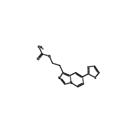 CC(=O)OCCc1ncn2ccc(-c3cccs3)cc12